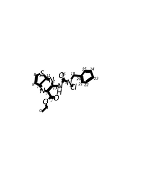 CCOC(=O)c1nc2ccsc2nc1NC(=O)N(Cl)Cc1ccccc1